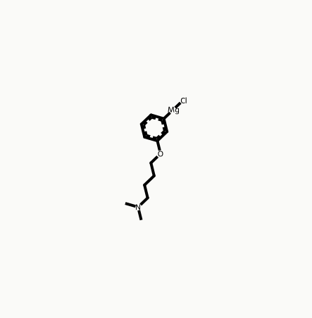 CN(C)CCCCOc1ccc[c]([Mg][Cl])c1